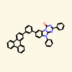 O=c1nc(-c2ccccc2)nc2n(-c3ccccc3)c3ccc(-c4cccc(-c5ccc6c7ccccc7c7ccccc7c6c5)c4)cc3n12